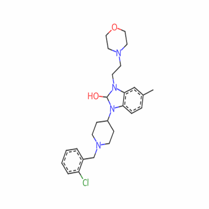 Cc1ccc2c(c1)N(CCN1CCOCC1)C(O)N2C1CCN(Cc2ccccc2Cl)CC1